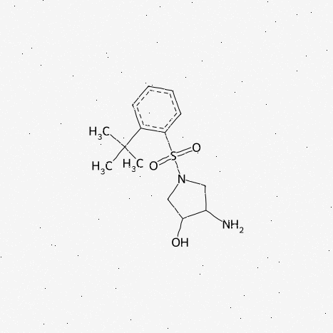 CC(C)(C)c1ccccc1S(=O)(=O)N1CC(N)C(O)C1